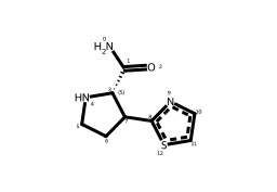 NC(=O)[C@H]1NCCC1c1nccs1